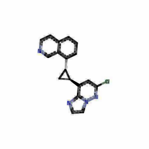 Clc1cc([C@H]2C[C@@H]2c2cccc3ccncc23)c2nccn2n1